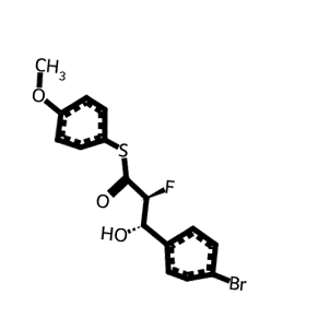 COc1ccc(SC(=O)[C@@H](F)[C@@H](O)c2ccc(Br)cc2)cc1